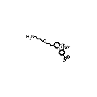 NCCCCOCCCc1ccc[n+](-c2ccc([N+](=O)[O-])cc2[N+](=O)[O-])c1